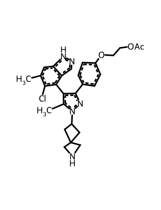 CC(=O)OCCOc1ccc(-c2nn(C3CC4(CNC4)C3)c(C)c2-c2c(Cl)c(C)cc3[nH]ncc23)cc1